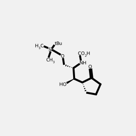 CC(C)(C)[Si](C)(C)OC[C@H](NC(=O)O)[C@H](O)[C@H]1CCCC1=O